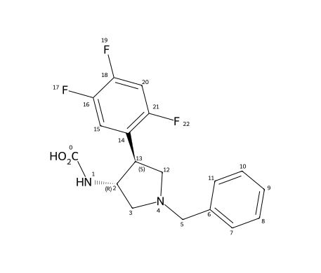 O=C(O)N[C@H]1CN(Cc2ccccc2)C[C@@H]1c1cc(F)c(F)cc1F